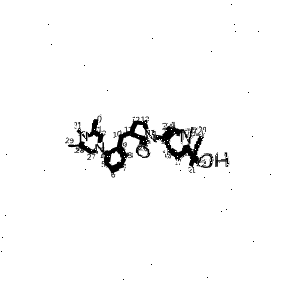 CC1CN(c2ccccc2CC2CCN(c3ccc(C(C)(C)O)nc3)C2=O)C[C@@H](C)N1C